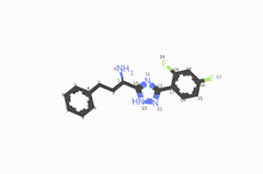 N[C@H](CCc1ccccc1)c1nc(-c2ccc(F)cc2F)n[nH]1